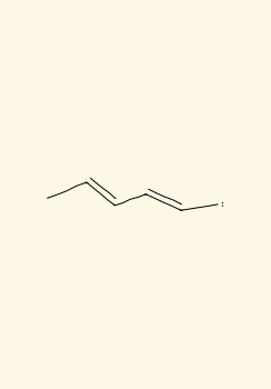 [CH]/C=C/C=C/C